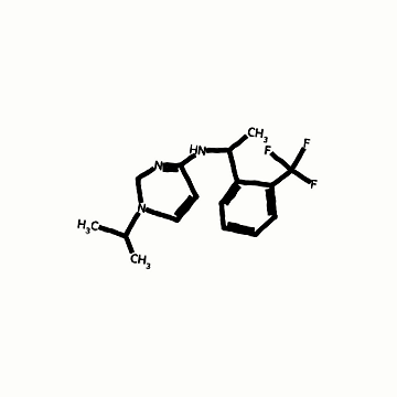 CC(NC1=NCN(C(C)C)C=C1)c1ccccc1C(F)(F)F